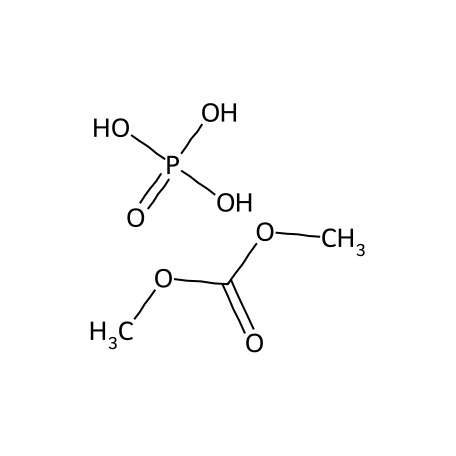 COC(=O)OC.O=P(O)(O)O